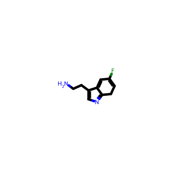 NCCC1=CN=C2CC=C(F)C=C12